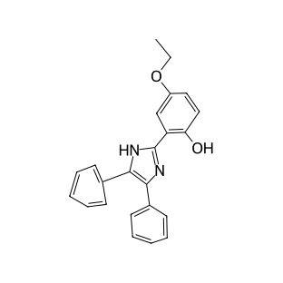 CCOc1ccc(O)c(-c2nc(-c3ccccc3)c(-c3ccccc3)[nH]2)c1